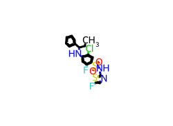 CCC(Nc1cc(F)c(S(=O)(=O)Nc2ncc(F)s2)cc1Cl)c1ccccc1